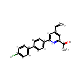 C=Cc1cc(C(=O)OC)nc(-c2ccc(-c3ccc(F)cc3)cc2)c1